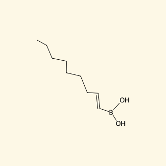 CCCCCCCC=CB(O)O